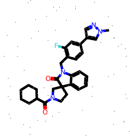 Cn1cc(-c2ccc(CN3C(=O)C4(CCN(C(=O)C5CCCCC5)C4)c4ccccc43)c(F)c2)cn1